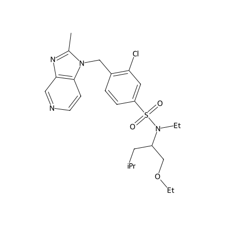 CCOCC(CC(C)C)N(CC)S(=O)(=O)c1ccc(Cn2c(C)nc3cnccc32)c(Cl)c1